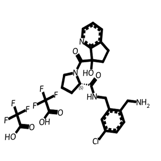 NCc1ccc(Cl)cc1CNC(=O)[C@@H]1CCCN1C(=O)C1(O)CCc2cccnc21.O=C(O)C(F)(F)F.O=C(O)C(F)(F)F